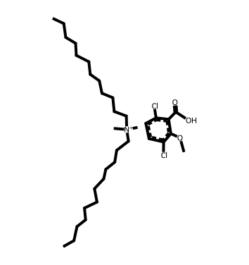 CCCCCCCCCCCC[N+](C)(C)CCCCCCCCCCCC.COc1c(Cl)ccc(Cl)c1C(=O)O